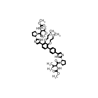 COCCOc1c(-c2ccc(-c3cnc([C@@H]4CCCN4C(=O)[C@@H](NC(=O)OC)C(C)C)[nH]3)cc2)ccc(-c2cnc([C@@H]3CCCN3C(=O)[C@@H](NC(=O)OC)[C@@H](C)OC)[nH]2)c1OCCOC